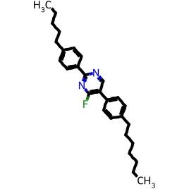 CCCCCCCc1ccc(-c2cnc(-c3ccc(CCCCC)cc3)nc2F)cc1